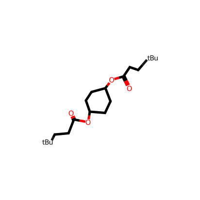 CC(C)(C)CCC(=O)OC1CCC(OC(=O)CCC(C)(C)C)CC1